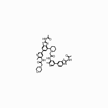 CC(=O)Nc1nc2ccc(-c3cnc(C)c(NC(=O)CN4CCCCC4c4cc(-c5cnc(C)c(NC(=O)CN6CCOCC6)c5)cc5sc(NC(C)=O)nc45)c3)cc2s1